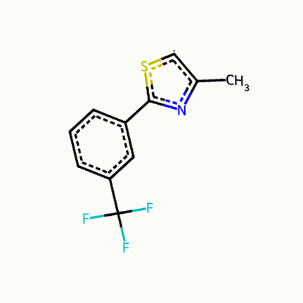 Cc1[c]sc(-c2cccc(C(F)(F)F)c2)n1